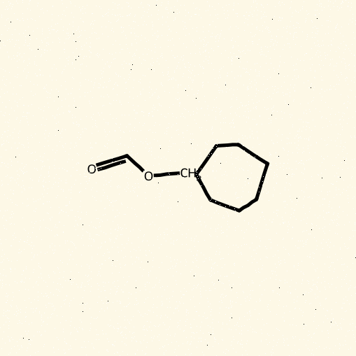 C1CCCCCC1.COC=O